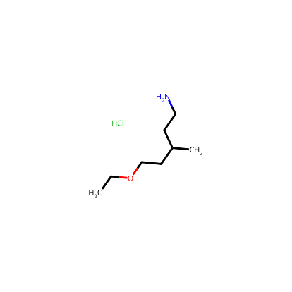 CCOCCC(C)CCN.Cl